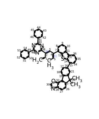 C=C/C(=C\C(=C/C)c1cccc2c1sc1c(-c3ccc4c(c3)C(C)(C)c3ccc5ncoc5c3-4)cccc12)c1nc(-c2ccccc2)nc(-c2ccccc2)n1